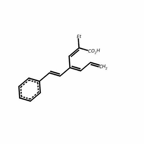 C=CC=C(C=Cc1ccccc1)C=C(CC)C(=O)O